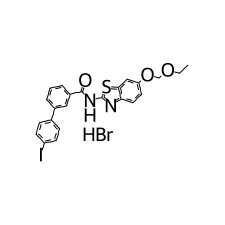 Br.CCOCOc1ccc2nc(NC(=O)c3cccc(-c4ccc(I)cc4)c3)sc2c1